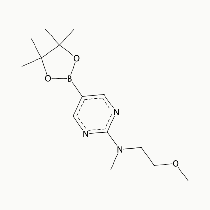 COCCN(C)c1ncc(B2OC(C)(C)C(C)(C)O2)cn1